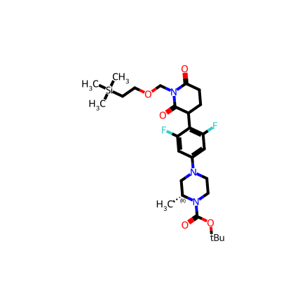 C[C@@H]1CN(c2cc(F)c(C3CCC(=O)N(COCC[Si](C)(C)C)C3=O)c(F)c2)CCN1C(=O)OC(C)(C)C